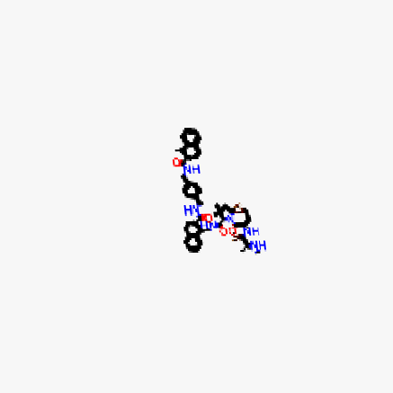 CN[C@@H](C)C(=S)N[C@H]1CCSC2CC(C)(C)[C@@H](C(=O)NC[C@@H]3c4ccccc4CC[C@H]3C(=O)NCc3ccc(CNC(=O)[C@@H]4CCc5ccccc5[C@@H]4C)cc3)N2C1=O